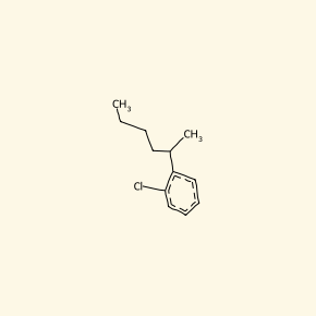 CCCCC(C)c1ccccc1Cl